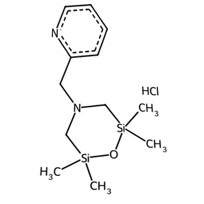 C[Si]1(C)CN(Cc2ccccn2)C[Si](C)(C)O1.Cl